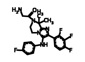 CC1(C)c2nc(-c3ccc(F)c(F)c3F)c(Nc3ccc(F)cc3)n2CCN1C(=O)CN